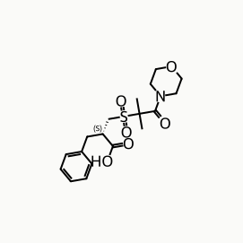 CC(C)(C(=O)N1CCOCC1)S(=O)(=O)C[C@@H](Cc1ccccc1)C(=O)O